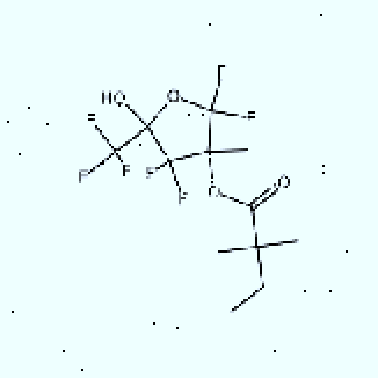 CCC(C)(C)C(=O)OC1(C)C(F)(F)OC(O)(C(F)(F)F)C1(F)F